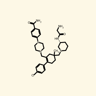 CC1(CN2CCC[C@@H](NC(=O)CN)C2)CCC(c2ccc(Cl)cc2)=C(CN2CCN(c3ccc(C(N)=O)cc3)CC2)C1